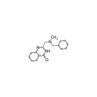 CN(Cc1ccccc1)Cc1nc2ccccc2c(=O)[nH]1